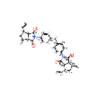 C=CC1CC(C)C2C(=O)N(C3=CCC(Cc4ccc(N5C(=O)C6C(C)CC(C=C)C6C5=O)cc4)C=C3)C(=O)C12